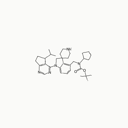 CC(C)C1CCc2ncnc(N3CC4(CCNCC4)c4c(CN(C(=O)OC(C)(C)C)C5CCCC5)cccc43)c21